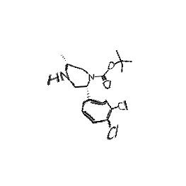 C[C@@H]1CN(C(=O)OC(C)(C)C)[C@H](c2ccc(Cl)c(Cl)c2)CN1